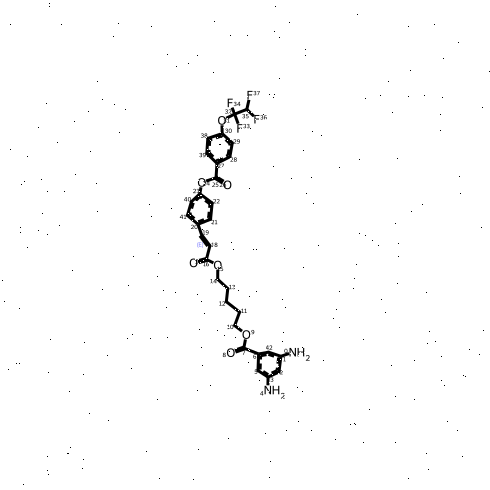 Nc1cc(N)cc(C(=O)OCCCCCOC(=O)/C=C/c2ccc(OC(=O)c3ccc(OC(F)(F)C(F)F)cc3)cc2)c1